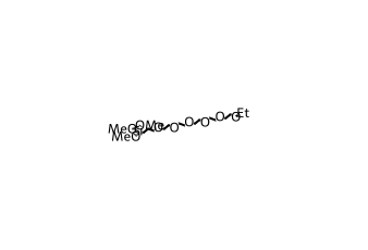 CCOCCOCCOCCOCCOCCOCCC[Si](OC)(OC)OC